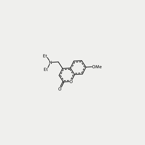 CCN(CC)Cc1cc(=O)oc2cc(OC)ccc12